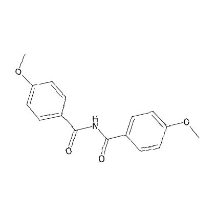 COc1ccc(C(=O)NC(=O)c2ccc(OC)cc2)cc1